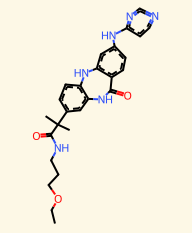 CCOCCCNC(=O)C(C)(C)c1ccc2c(c1)NC(=O)c1ccc(Nc3ccncn3)cc1N2